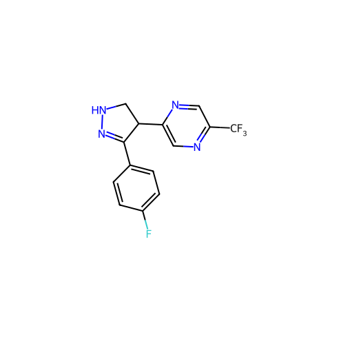 Fc1ccc(C2=NNCC2c2cnc(C(F)(F)F)cn2)cc1